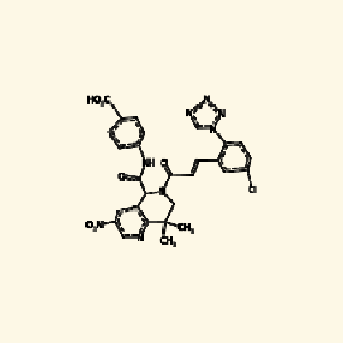 CC1(C)CN(C(=O)/C=C/c2cc(Cl)ccc2-n2cnnn2)C(C(=O)Nc2ccc(C(=O)O)cc2)c2cc([N+](=O)[O-])cnc21